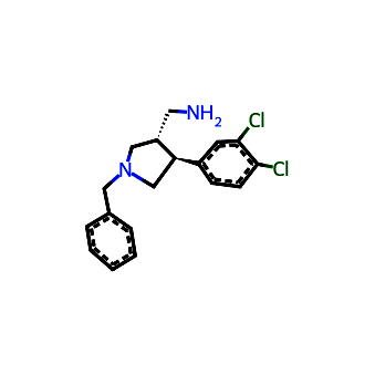 NC[C@H]1CN(Cc2ccccc2)C[C@@H]1c1ccc(Cl)c(Cl)c1